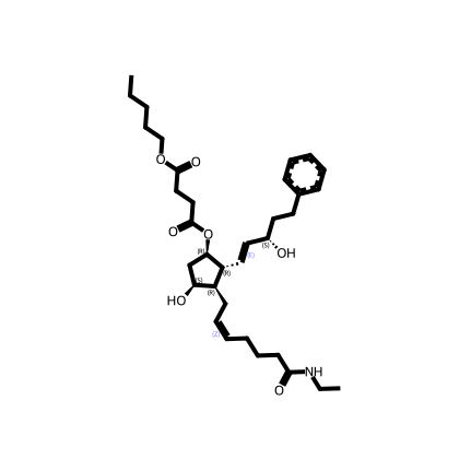 CCCCCOC(=O)CCC(=O)O[C@@H]1C[C@H](O)[C@H](C/C=C\CCCC(=O)NCC)[C@H]1/C=C/[C@@H](O)CCc1ccccc1